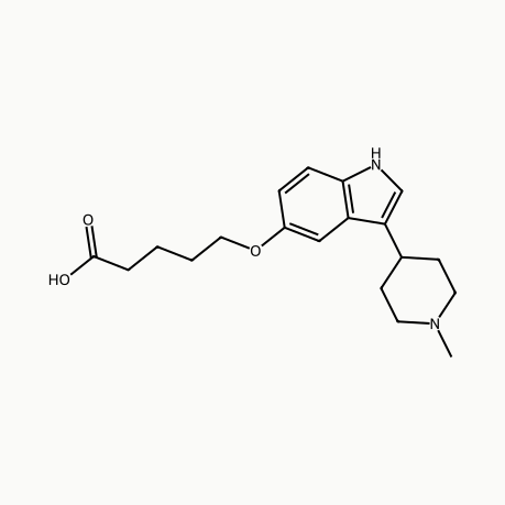 CN1CCC(c2c[nH]c3ccc(OCCCCC(=O)O)cc23)CC1